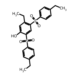 CCc1ccc(S(=O)(=O)c2cc(S(=O)(=O)c3ccc(CC)cc3)c(CC)cc2O)cc1